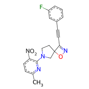 Cc1ccc([N+](=O)[O-])c(N2CCC3(C2)ON=C3C#Cc2cccc(F)c2)n1